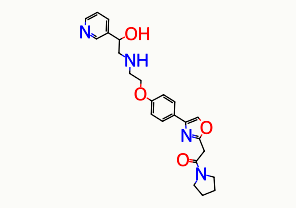 O=C(Cc1nc(-c2ccc(OCCNCC(O)c3cccnc3)cc2)co1)N1CCCC1